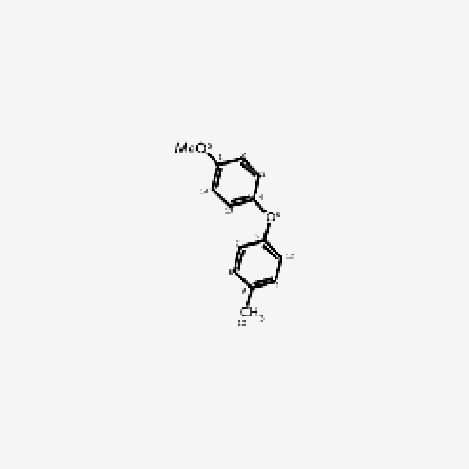 COc1c[c]c(Oc2ccc(C)cc2)cc1